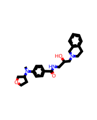 CN(c1ccc(C(=O)NCC(O)CN2CCc3ccccc3C2)cc1)C1CCOC1